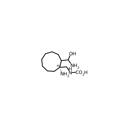 NC(O)C1CCCCCCC[C@]1(N)CNC(=O)O